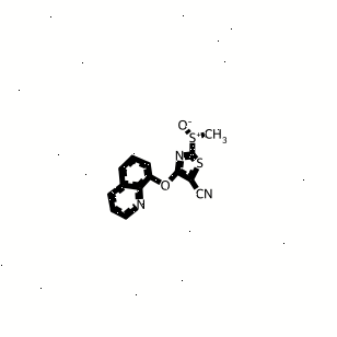 C[S+]([O-])c1nc(Oc2cccc3cccnc23)c(C#N)s1